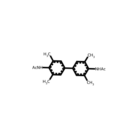 CC(=O)Nc1c(C)cc(-c2cc(C)c(NC(C)=O)c(C)c2)cc1C